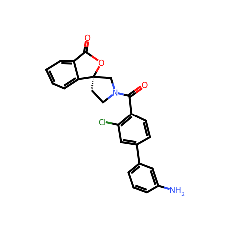 Nc1cccc(-c2ccc(C(=O)N3CC[C@@]4(C3)OC(=O)c3ccccc34)c(Cl)c2)c1